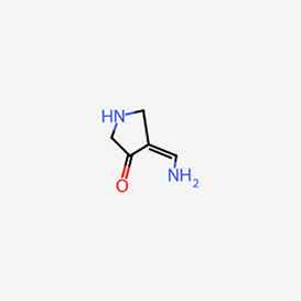 N/C=C1/CNCC1=O